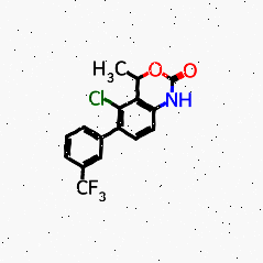 CC1OC(=O)Nc2ccc(-c3cccc(C(F)(F)F)c3)c(Cl)c21